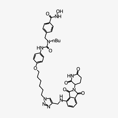 CCCCN(Cc1ccc(C(=O)NO)cc1)C(=O)Nc1ccc(OCCCCCCn2cc(CNc3cccc4c3C(=O)N(C3CCC(=O)NC3=O)C4=O)nn2)cc1